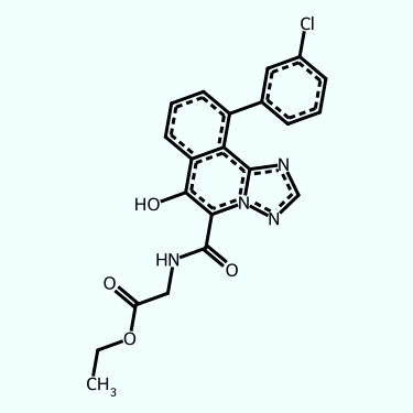 CCOC(=O)CNC(=O)c1c(O)c2cccc(-c3cccc(Cl)c3)c2c2ncnn12